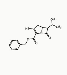 CC(O)C1C(=O)N2C(C(=O)OCc3ccccc3)=C(S)CC12